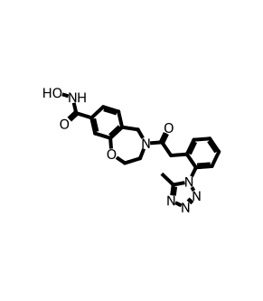 Cc1nnnn1-c1ccccc1CC(=O)N1CCOc2cc(C(=O)NO)ccc2C1